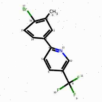 Cc1cc(-c2ccc(C(F)(F)F)cn2)ccc1Br